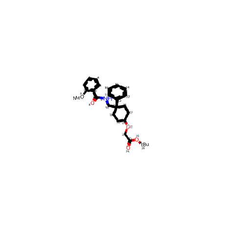 COc1ccccc1C(=O)NCC1(c2ccccc2)CCC(OCC(=O)OC(C)(C)C)CC1